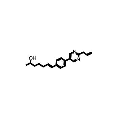 C=CCc1ncc(-c2ccc(C=CCCCC(C)O)cc2)cn1